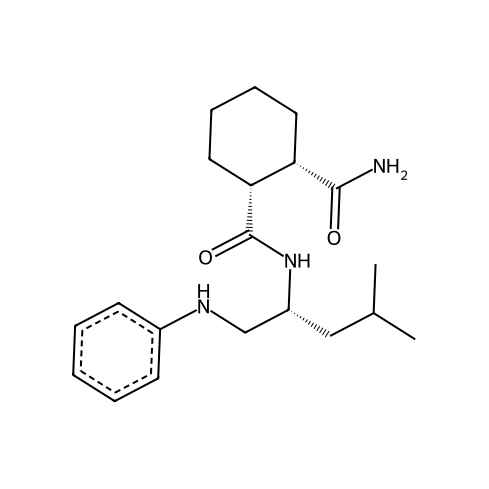 CC(C)C[C@H](CNc1ccccc1)NC(=O)[C@@H]1CCCC[C@@H]1C(N)=O